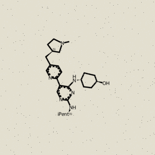 CCC[C@H](C)Nc1ncc(-c2ccc(C[C@H]3CCN(C)C3)cn2)c(N[C@H]2CC[C@H](O)CC2)n1